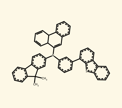 CC1(C)c2ccccc2-c2ccc(N(C3=Cc4ccccc4C4C=CC=CC34)c3cccc(-c4cccc5c4sc4ccccc45)c3)cc21